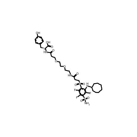 NS(=O)(=O)c1c(F)c(F)c(S(=O)(=O)CCC(=O)NCCOCCOCCC(=O)N[C@@H](Cc2ccc(O)cc2)C(=O)O)c(NC2CCCCCCC2)c1F